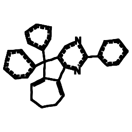 C1=C2C(=CCCC1)C(c1ccccc1)(c1ccccc1)c1cnc(-c3ccccc3)nc12